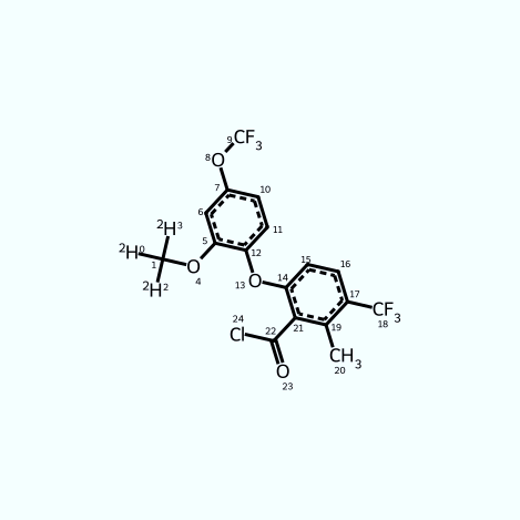 [2H]C([2H])([2H])Oc1cc(OC(F)(F)F)ccc1Oc1ccc(C(F)(F)F)c(C)c1C(=O)Cl